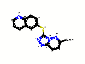 CNc1ccc2nnc(Sc3ccc4ncccc4c3)n2n1